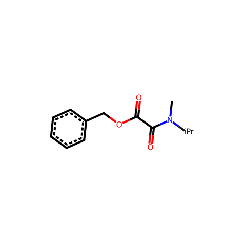 CC(C)N(C)C(=O)C(=O)OCc1ccccc1